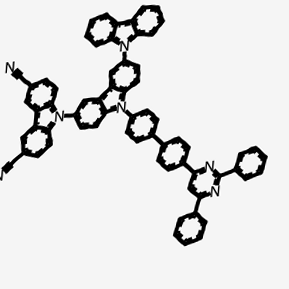 N#Cc1ccc2c(c1)c1cc(C#N)ccc1n2-c1ccc2c(c1)c1cc(-n3c4ccccc4c4ccccc43)ccc1n2-c1ccc(-c2ccc(-c3cc(-c4ccccc4)nc(-c4ccccc4)n3)cc2)cc1